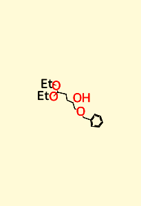 CCOC(CCC(O)COCc1ccccc1)OCC